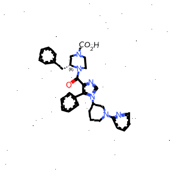 O=C(O)N1CCN(C(=O)c2ncn(C3CCCN(c4ccccn4)C3)c2-c2ccccc2)[C@H](Cc2ccccc2)C1